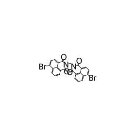 O=C1c2cccc3c(Br)ccc(c23)C(=O)N1CN1C(=O)c2cccc3c(Br)ccc(c23)C1=O